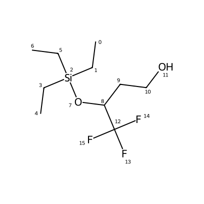 CC[Si](CC)(CC)OC(CCO)C(F)(F)F